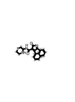 O=C1N=C2C(=C1C(=O)NC1CSCCN1)c1cccc3cccc2c13